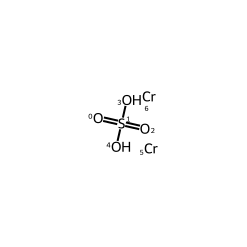 O=S(=O)(O)O.[Cr].[Cr]